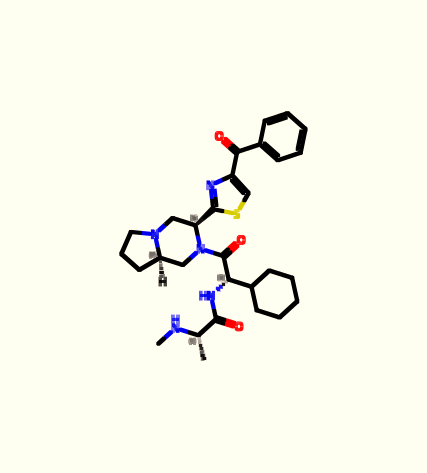 CN[C@@H](C)C(=O)N[C@H](C(=O)N1C[C@H]2CCCN2C[C@H]1c1nc(C(=O)c2ccccc2)cs1)C1CCCCC1